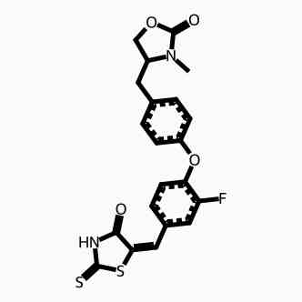 CN1C(=O)OCC1Cc1ccc(Oc2ccc(C=C3SC(=S)NC3=O)cc2F)cc1